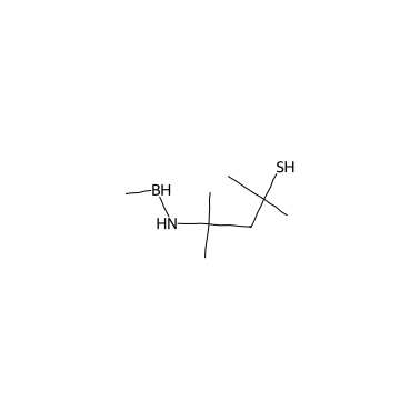 CBNC(C)(C)CC(C)(C)S